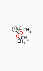 CC(C)OC(OC(C)C)C1CCCCC1